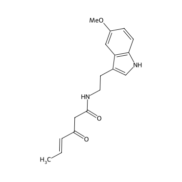 C/C=C/C(=O)CC(=O)NCCc1c[nH]c2ccc(OC)cc12